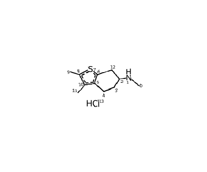 CNC1CCc2c(sc(C)c2C)C1.Cl